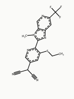 CCSc1cc(C(C#N)C#N)cnc1-c1nc2cc(C(F)(F)F)ncc2n1C